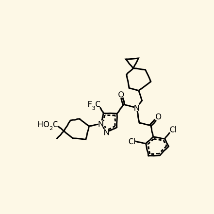 CC1(C(=O)O)CCC(n2ncc(C(=O)N(CC(=O)c3c(Cl)cccc3Cl)CC3CCC4(CC3)CC4)c2C(F)(F)F)CC1